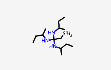 CCC(C)NC(C[SiH3])(NC(C)CC)NC(C)CC